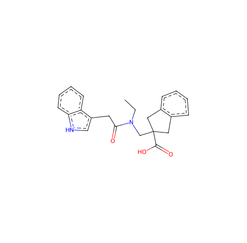 CCN(CC1(C(=O)O)Cc2ccccc2C1)C(=O)Cc1c[nH]c2ccccc12